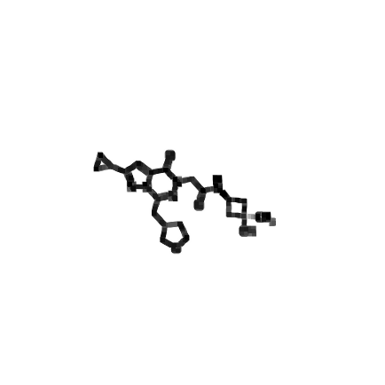 C[C@]1(O)C[C@@H](NC(=O)Cn2nc(CC3CCOC3)n3nc(C4CC4)cc3c2=O)C1